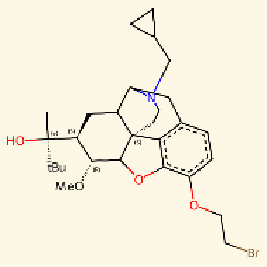 CO[C@H]1C2Oc3c(OCCBr)ccc4c3[C@@]23CCN(CC2CC2)C(C4)C3C[C@@H]1[C@](C)(O)C(C)(C)C